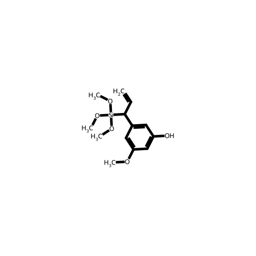 C=CC(c1cc(O)cc(OC)c1)[Si](OC)(OC)OC